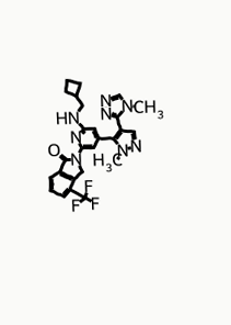 Cn1cnnc1-c1cnn(C)c1-c1cc(NCC2CCC2)nc(N2Cc3c(cccc3C(F)(F)F)C2=O)c1